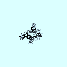 COC(=O)c1cc2c(cc1-c1cnc(C)nc1)c(C(C)=O)nn2CC(=O)N1[C@H](C(=O)Nc2nc(Br)ccc2C)C[C@@]2(C)C[C@@H]12